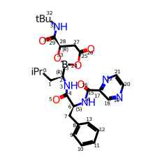 CC(C)C[C@H](NC(=O)[C@H](Cc1ccccc1)NC(=O)c1cnccn1)B1OC(=O)C[C@H](C(=O)NC(C)(C)C)O1